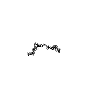 CN(CCOC(=O)NCc1ccc2c(c1)n(C)c(=O)n2C1CCC(=O)NC1=O)C[C@H]1CC[C@H](n2cc(NC(=O)c3coc(-c4ccnc(NCC5CC5)c4)n3)c(C(F)F)n2)CC1